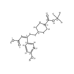 COC(=O)/C=C(/CCC1CCN(C(=O)OC(C)(C)C)CC1)c1ccc(OC)nc1